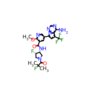 COc1ncc(-c2cc(C(F)(F)F)c3c(N)ncnn23)cc1C(=O)N[C@@H]1CN(C(=O)C(C)(C)F)C[C@@H]1F